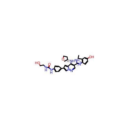 CCc1cc(O)ccc1/N=C(\N)c1cnn2cc(-c3ccc(NC(=O)NCCO)cc3)cc2c1N[C@H]1CCOC1